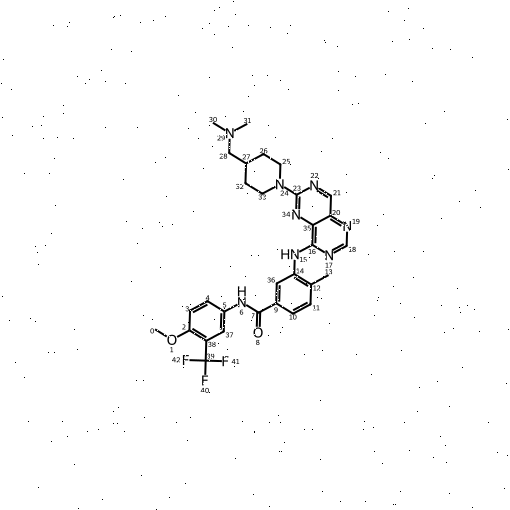 COc1ccc(NC(=O)c2ccc(C)c(Nc3ncnc4cnc(N5CCC(CN(C)C)CC5)nc34)c2)cc1C(F)(F)F